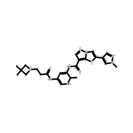 CC1NC=C(NC(=O)CCN2CC(C)(C)C2)C=C1NC(=O)c1cnn2cc(-c3cnn(C)c3)sc12